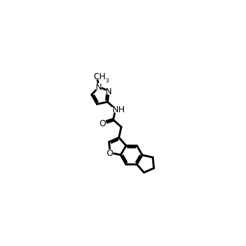 Cn1ccc(NC(=O)Cc2coc3cc4c(cc23)CCC4)n1